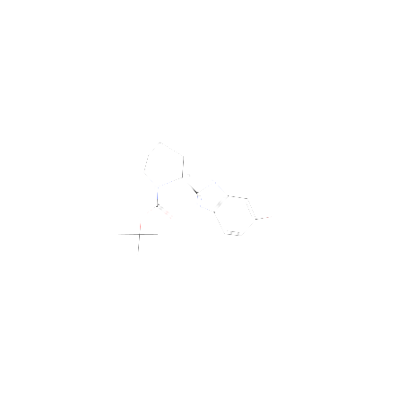 CC(C)(C)OC(=O)N1CCCC[C@H]1c1nc2ccc(Br)cc2[nH]1